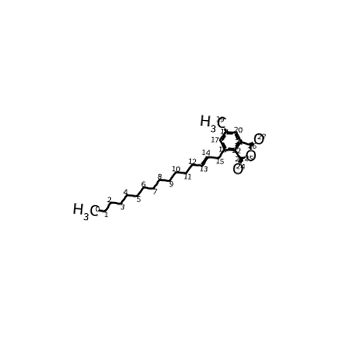 CCCCCCCCCCCCCC=CCc1cc(C)cc2c1C(=O)OC2=O